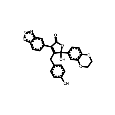 N#Cc1ccc(CC2=C(c3ccc4nsnc4c3)C(=O)OC2(O)c2ccc3c(c2)OCCO3)cc1